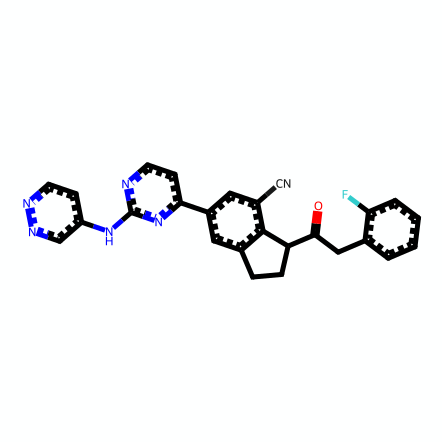 N#Cc1cc(-c2ccnc(Nc3ccnnc3)n2)cc2c1C(C(=O)Cc1ccccc1F)CC2